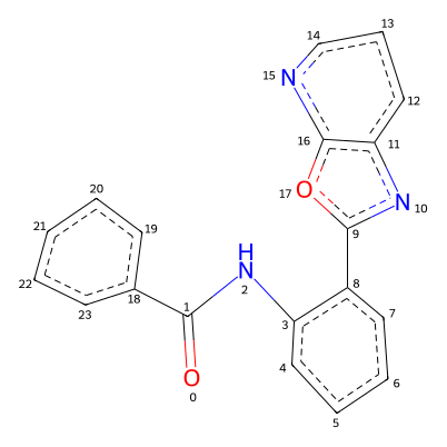 O=C(Nc1ccccc1-c1nc2cccnc2o1)c1ccccc1